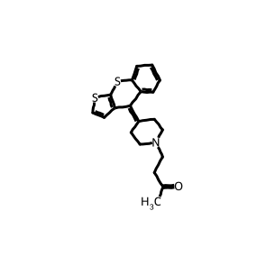 CC(=O)CCN1CCC(=C2c3ccccc3Sc3sccc32)CC1